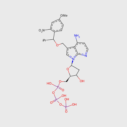 COc1ccc(C(OCc2cn([C@H]3CC(O)[C@@H](COP(=O)(O)OP(=O)(O)OP(=O)(O)O)O3)c3nccc(N)c23)C(C)C)c([N+](=O)[O-])c1